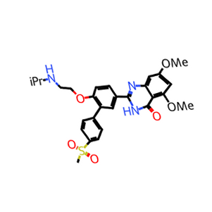 COc1cc(OC)c2c(=O)[nH]c(-c3ccc(OCCNC(C)C)c(-c4ccc(S(C)(=O)=O)cc4)c3)nc2c1